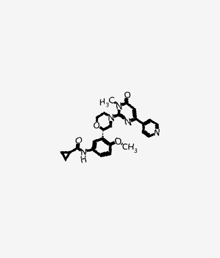 COc1ccc(NC(=O)C2CC2)cc1[C@H]1CN(c2nc(-c3ccncc3)cc(=O)n2C)CCO1